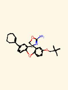 CC(C)(C)COc1ccc2c(c1)[C@]1(COC(N)=N1)c1cc(C3=CCCCC3)ccc1O2